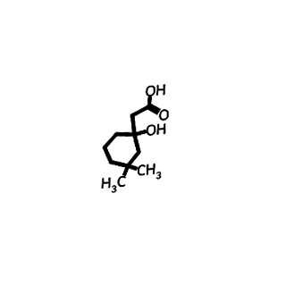 CC1(C)CCCC(O)(CC(=O)O)C1